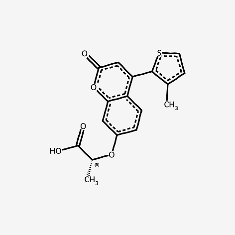 Cc1ccsc1-c1cc(=O)oc2cc(O[C@H](C)C(=O)O)ccc12